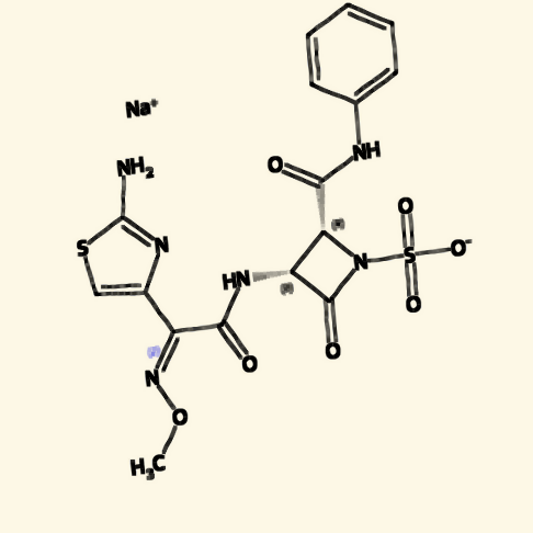 CO/N=C(\C(=O)N[C@H]1C(=O)N(S(=O)(=O)[O-])[C@H]1C(=O)Nc1ccccc1)c1csc(N)n1.[Na+]